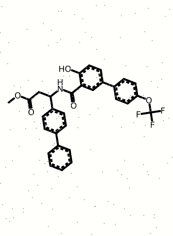 COC(=O)CC(NC(=O)c1cc(-c2ccc(OC(F)(F)F)cc2)ccc1O)c1ccc(-c2ccccc2)cc1